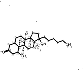 CCCCCCC1(O)CC[C@H]2[C@@H]3CCC4CC(=O)CC(C)[C@]4(C)[C@@H]3CC[C@@]21C